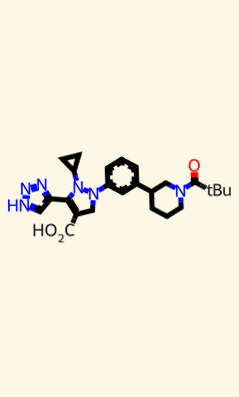 CC(C)(C)C(=O)N1CCCC(c2cccc(N3CC(C(=O)O)=C(c4c[nH]nn4)N3C3CC3)c2)C1